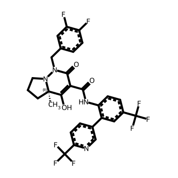 C[C@]12CCCN1N(Cc1ccc(F)c(F)c1)C(=O)C(C(=O)Nc1ccc(C(F)(F)F)cc1-c1ccc(C(F)(F)F)nc1)=C2O